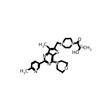 Cc1ccc(-c2nc(N3CCOCC3)c3sc(CN4CCN(C(=O)[C@H](C)O)CC4)c(C)c3n2)cn1